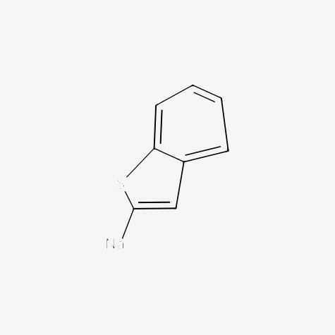 [Na][c]1cc2ccccc2s1